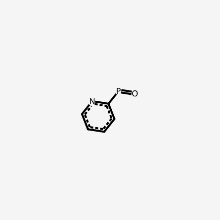 O=Pc1ccccn1